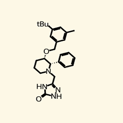 Cc1cc(CO[C@H]2CCCN(Cc3n[nH]c(=O)[nH]3)[C@H]2c2ccccc2)cc(C(C)(C)C)c1